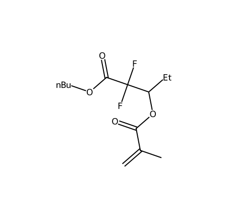 C=C(C)C(=O)OC(CC)C(F)(F)C(=O)OCCCC